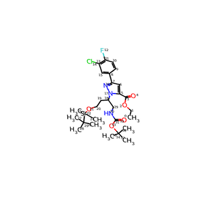 CCOC(=O)c1cc(-c2ccc(F)c(Cl)c2)nn1C(CCO[Si](C)(C)C(C)(C)C)CNC(=O)OC(C)(C)C